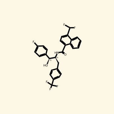 O=C(N[C@@H](Cc1ccc(C(F)(F)F)cc1)[C@@H](O)c1ccc(F)cc1)c1ccc(C(F)F)c2ccccc12